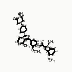 COc1cc(-c2nc([C@H]3CC[C@H](N4CCN(C)C(=O)C4)CC3)n3ccnc(C)c23)ccc1NC(=O)c1cc2c(OC)cccc2n1C